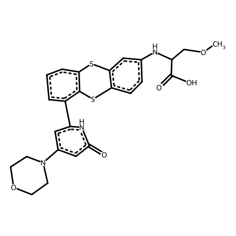 COCC(Nc1ccc2c(c1)Sc1cccc(-c3cc(N4CCOCC4)cc(=O)[nH]3)c1S2)C(=O)O